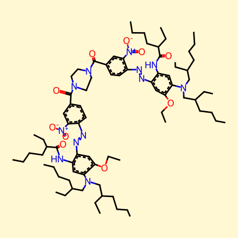 CCCCC(CC)CN(CC(CC)CCCC)c1cc(NC(=O)C(CC)CCCC)c(N=Nc2ccc(C(=O)N3CCN(C(=O)c4ccc(N=Nc5cc(OCC)c(N(CC(CC)CCCC)CC(CC)CCCC)cc5NC(=O)C(CC)CCCC)c([N+](=O)[O-])c4)CC3)cc2[N+](=O)[O-])cc1OCC